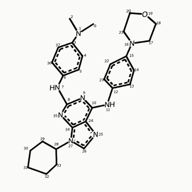 CN(C)c1ccc(Nc2nc(Nc3ccc(N4CCOCC4)cc3)c3ncn(C4CCCCC4)c3n2)cc1